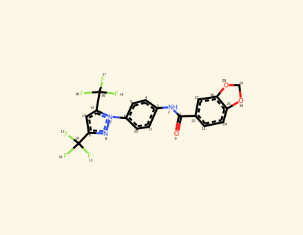 O=C(Nc1ccc(-n2nc(C(F)(F)F)cc2C(F)(F)F)cc1)c1ccc2c(c1)OCO2